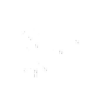 O=CN(c1ncc(/C=C2\SC(=Nc3ccc4c(ccn4CCCN4CCCCC4)c3)NC2=O)s1)C1CC1